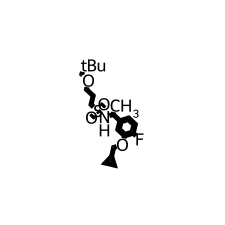 CC(NS(=O)(=O)CCCOCC(C)(C)C)c1ccc(F)c(OCC2CC2)c1